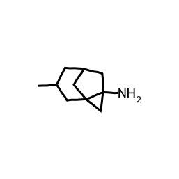 CC1CC2CC3(N)CC3(C1)C2